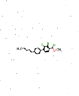 CCCCCC1CCC(c2ccc(C(Br)OC)c(F)c2F)CC1